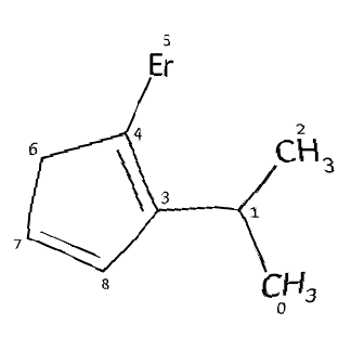 CC(C)C1=[C]([Er])CC=C1